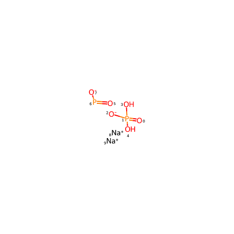 O=P([O-])(O)O.O=P[O-].[Na+].[Na+]